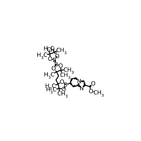 COC(=O)c1cn2ccc(B3OC(C)(C)C(C)(CCC4(C)OB(B5OC(C)(C)C(C)(C)O5)OC4(C)C)O3)cc2n1